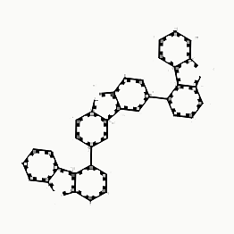 c1ccc2c(c1)oc1cccc(-c3ccc4oc5ccc(-c6cccc7oc8ccccc8c67)cc5c4c3)c12